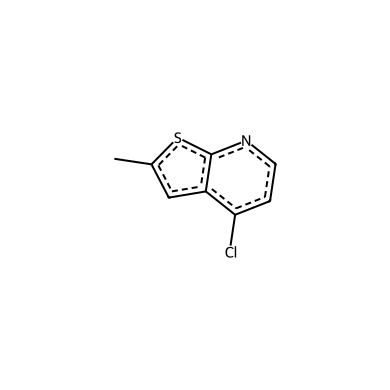 Cc1cc2c(Cl)ccnc2s1